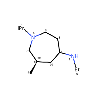 CCNC1CCN(C(C)C)C[C@H](C)C1